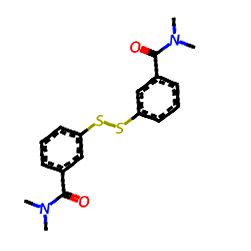 CN(C)C(=O)c1cccc(SSc2cccc(C(=O)N(C)C)c2)c1